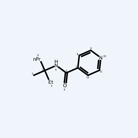 CCCC(C)(CC)NC(=O)c1ccncc1